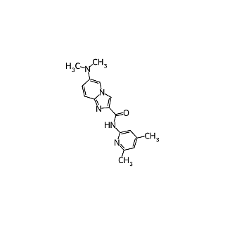 Cc1cc(C)nc(NC(=O)c2cn3cc(N(C)C)ccc3n2)c1